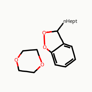 C1COCCO1.CCCCCCCC1OOc2ccccc21